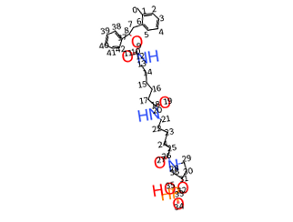 Cc1ccccc1CC(OC(=O)NCCCCCC(=O)NCCCCCC(=O)N1CC[C@@H](O[PH](=O)O)C1)c1ccccc1